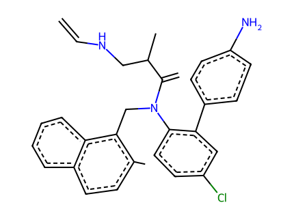 C=CNCC(C)C(=C)N(Cc1c(C)ccc2ccccc12)c1ccc(Cl)cc1-c1ccc(N)cc1